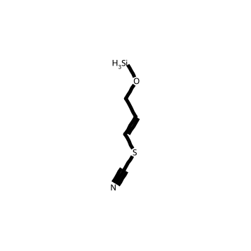 N#CSC=CCO[SiH3]